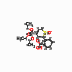 CCO[Si](OCC)(OCC)C1=CC[S+]([O-])C(c2ccccc2C(=O)O)=C1